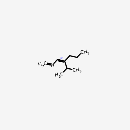 C=N/C=C(/CCC)C(C)C